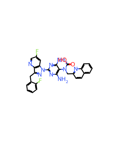 Nc1nc(-n2nc(Cc3ccccc3F)c3ncc(F)cc32)nc(N)c1N(Cc1ccc2ccccc2n1)C(=O)O